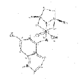 O=C(O)N1[C@@H]2CC[C@H]1CC(Nc1nc(Cl)cc3ncccc13)C2